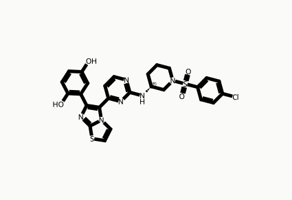 O=S(=O)(c1ccc(Cl)cc1)N1CCC[C@@H](Nc2nccc(-c3c(-c4cc(O)ccc4O)nc4sccn34)n2)C1